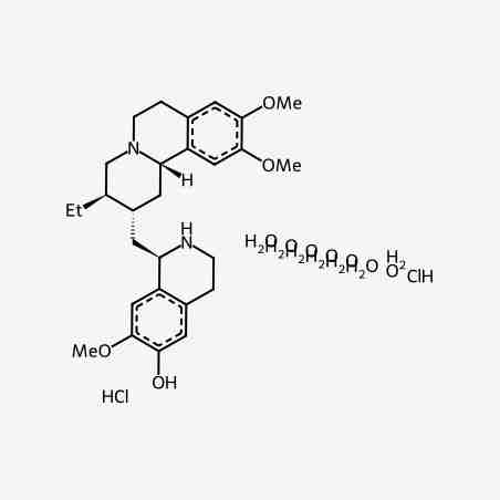 CC[C@H]1CN2CCc3cc(OC)c(OC)cc3[C@@H]2C[C@@H]1C[C@H]1NCCc2cc(O)c(OC)cc21.Cl.Cl.O.O.O.O.O.O.O